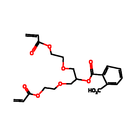 C=CC(=O)OCCOCC(COCCOC(=O)C=C)OC(=O)c1ccccc1C(=O)O